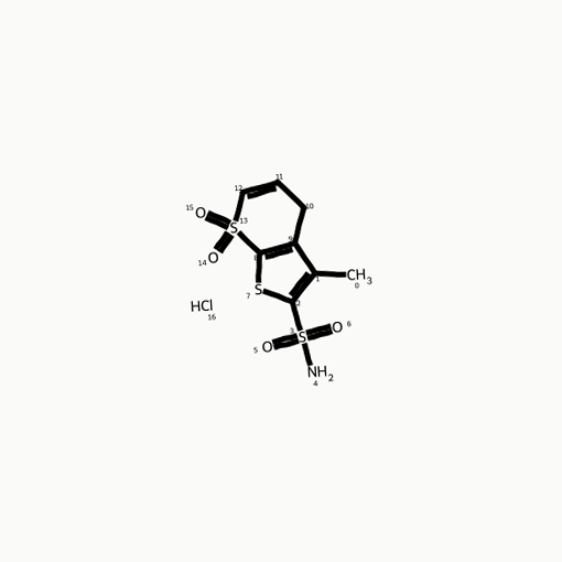 Cc1c(S(N)(=O)=O)sc2c1CC=CS2(=O)=O.Cl